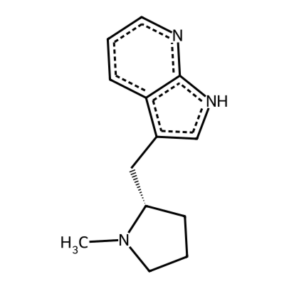 CN1CCC[C@H]1Cc1c[nH]c2ncccc12